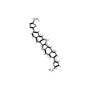 Cc1ccc(-c2ccc3cc4c(cc3c2)sc2c3cc5ccc(-c6ccc(C)s6)cc5cc3sc42)s1